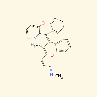 C/N=C/C=C\C1=C(C)C(=C2/c3ccccc3Oc3cccnc32)/c2ccccc2O1